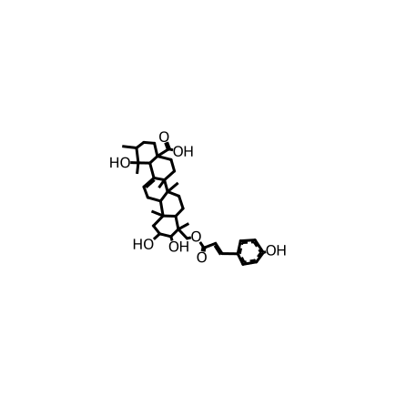 CC1CCC2(C(=O)O)CCC3(C)C(=CCC4C5(C)CC(O)C(O)C(C)(COC(=O)/C=C/c6ccc(O)cc6)C5CCC43C)C2C1(C)O